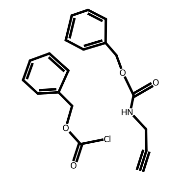 C#CCNC(=O)OCc1ccccc1.O=C(Cl)OCc1ccccc1